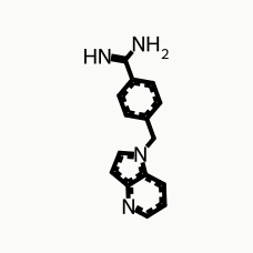 N=C(N)c1ccc(Cn2ccc3ncccc32)cc1